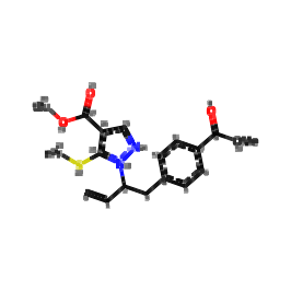 C=CC(Cc1ccc(C(=O)OC)cc1)n1ncc(C(=O)OC(C)(C)C)c1SCCC